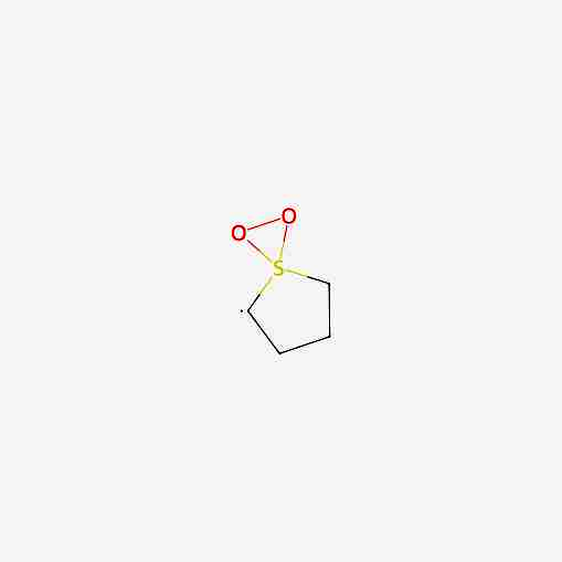 [CH]1CCCS12OO2